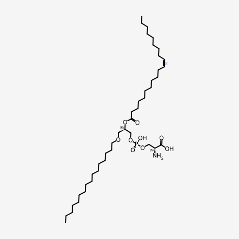 CCCCCCCC/C=C\CCCCCCCCCC(=O)O[C@H](COCCCCCCCCCCCCCCCC)COP(=O)(O)OC[C@H](N)C(=O)O